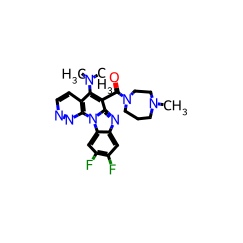 CN1CCCN(C(=O)c2c(N(C)C)c3ccnnc3n3c2nc2cc(F)c(F)cc23)CC1